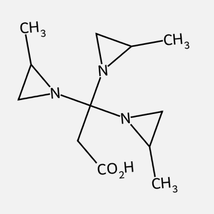 CC1CN1C(CC(=O)O)(N1CC1C)N1CC1C